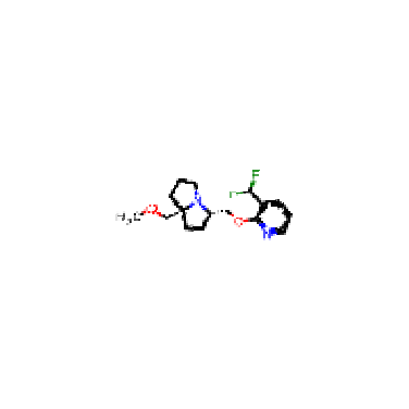 COC[C@@]12CCCN1[C@H](COc1ncccc1C(F)F)CC2